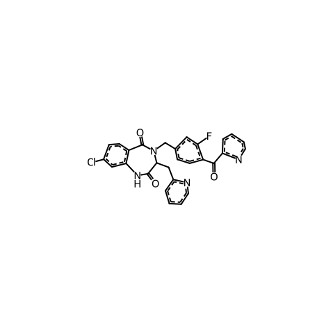 O=C(c1ccccn1)c1ccc(CN2C(=O)c3ccc(Cl)cc3NC(=O)C2Cc2ccccn2)cc1F